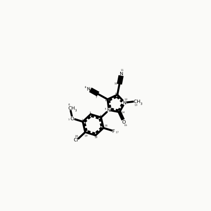 COc1cc(-n2c(C#N)c(C#N)n(C)c2=O)c(F)cc1Cl